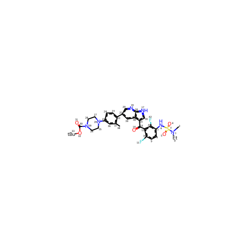 CCN(C)S(=O)(=O)Nc1ccc(F)c(C(=O)c2c[nH]c3ncc(-c4ccc(N5CCN(C(=O)OC(C)(C)C)CC5)cc4C)cc23)c1F